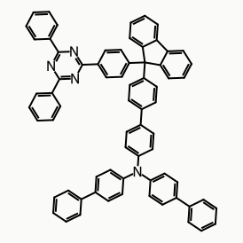 c1ccc(-c2ccc(N(c3ccc(-c4ccccc4)cc3)c3ccc(-c4ccc(C5(c6ccc(-c7nc(-c8ccccc8)nc(-c8ccccc8)n7)cc6)c6ccccc6-c6ccccc65)cc4)cc3)cc2)cc1